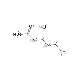 Cl.NC(=O)NCPCO